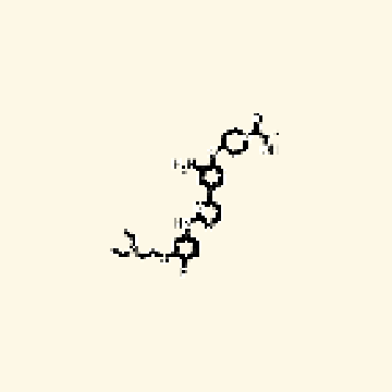 CCN(CC)CCOc1cc(Nc2nccc(-c3ccc(OC4CCN(C(=O)[C@H](C)O)CC4)c(N)c3)n2)ccc1F